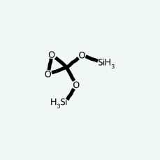 [SiH3]OC1(O[SiH3])OO1